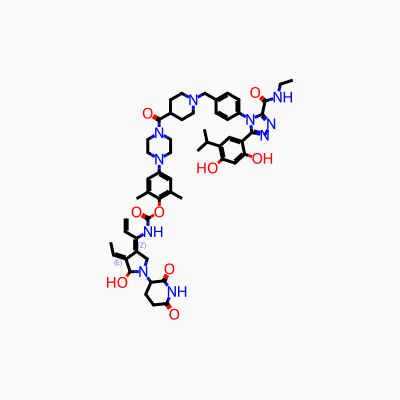 C=C/C(NC(=O)Oc1c(C)cc(N2CCN(C(=O)C3CCN(Cc4ccc(-n5c(C(=O)NCC)nnc5-c5cc(C(C)C)c(O)cc5O)cc4)CC3)CC2)cc1C)=C1/CN(C2CCC(=O)NC2=O)C(O)/C1=C/C